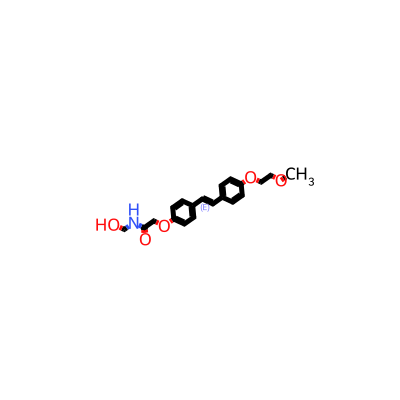 COCCOc1ccc(/C=C/c2ccc(OCC(=O)NCO)cc2)cc1